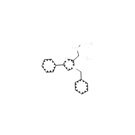 CC(C)(C)[C@@H](NC(=O)O)c1nc(-c2ccccc2)cn1Cc1ccccc1